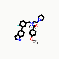 O=C([O-])C[N+](CCN1CCCC1)(Cc1ccc(F)c(-c2ccc3[nH]ccc3c2)c1)C(=O)c1ccc(OC(F)(F)F)cc1